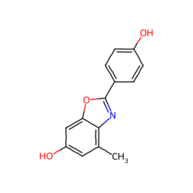 Cc1cc(O)cc2oc(-c3ccc(O)cc3)nc12